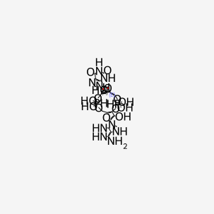 NC1=C2NCN(c3oc4c(c3O)O[PH](O)(O)O/C=C3/OC(n5cnc6c(=O)[nH]c(=O)[nH]c65)=C(O[PH](O)(O)OC4)[C@@H]3O)C2NCN1